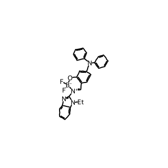 CCn1c([N+]2=Cc3ccc(N(c4ccccc4)c4ccccc4)cc3O[B-]2(F)F)nc2ccccc21